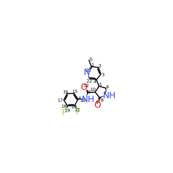 Cc1ccc(C2CNC(=O)C2C(=O)Nc2cccc(F)c2F)cn1